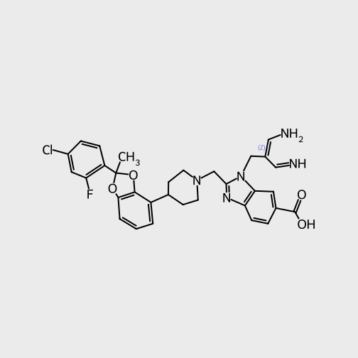 CC1(c2ccc(Cl)cc2F)Oc2cccc(C3CCN(Cc4nc5ccc(C(=O)O)cc5n4C/C(C=N)=C/N)CC3)c2O1